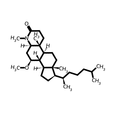 CO[C@H]1C[C@H]2N(C)C(=O)CC[C@]2(C)[C@H]2CC[C@]3(C)[C@@H]([C@H](C)CCCC(C)C)CC[C@H]3[C@H]12